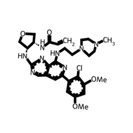 C=CC(=O)N[C@H]1COC[C@H]1Nc1ncc2cc(-c3cc(OC)cc(OC)c3Cl)nc(NCCN3CCN(C)CC3)c2n1